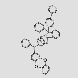 c1ccc(-c2ccc(C3(c4ccccc4-c4cccc(N(c5ccccc5)c5ccc6c(c5)Oc5ccccc5O6)c4)c4ccccc4-c4ccccc43)cc2)cc1